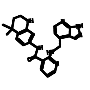 CC1(C)CCNc2cc(NC(=O)c3cccnc3NCc3ccnc4[nH]ncc34)ccc21